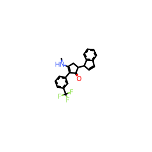 CNC1=C(c2cccc(C(F)(F)F)c2)C(=O)C(C2C=Cc3ccccc32)C1